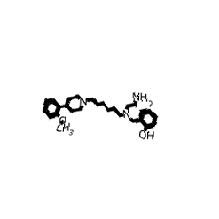 COc1ccccc1C1CCN(CCCCCCN(CCN)Cc2ccccc2O)CC1